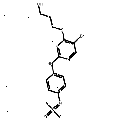 CS(C)(=O)=Nc1ccc(Nc2ncc(Br)c(SCCCO)n2)cc1